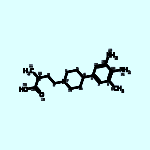 Cc1cc(C2CCN(CCN(C)C(=O)O)CC2)cc(N)c1N